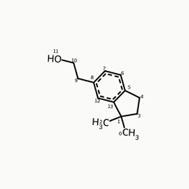 CC1(C)CCc2ccc(CCO)cc21